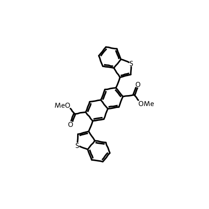 COC(=O)c1cc2cc(-c3csc4ccccc34)c(C(=O)OC)cc2cc1-c1csc2ccccc12